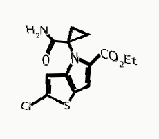 CCOC(=O)c1cc2sc(Cl)cc2n1C1(C(N)=O)CC1